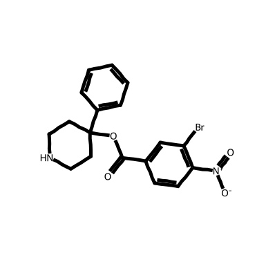 O=C(OC1(c2ccccc2)CCNCC1)c1ccc([N+](=O)[O-])c(Br)c1